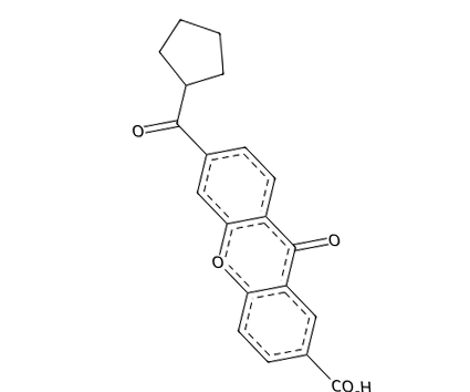 O=C(O)c1ccc2oc3cc(C(=O)C4CCCC4)ccc3c(=O)c2c1